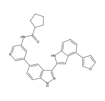 O=C(Nc1cncc(-c2ccc3[nH]nc(-c4cc5c(-c6ccoc6)cccc5[nH]4)c3c2)c1)C1CCCC1